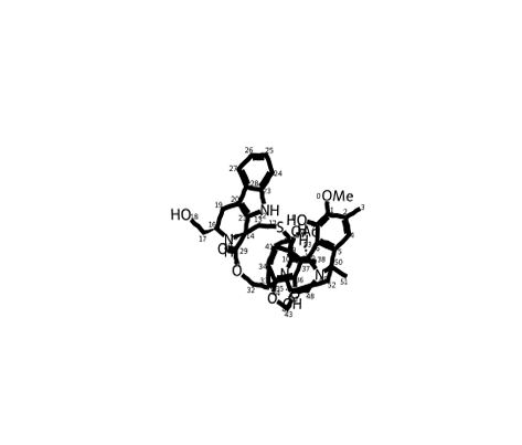 COc1c(C)cc2c(c1O)[C@@H]1C3[C@@H]4SC[C@]5(N[C@@H](CO)Cc6c5[nH]c5ccccc65)C(=O)OCC(c5c6c(c(C)c(OC(C)=O)c54)OCO6)N3[C@]3(O)CN1C2(C)C3